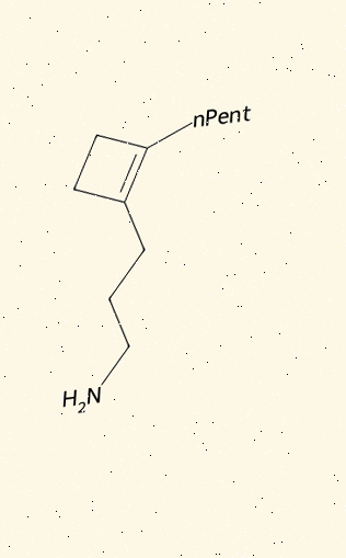 CCCCCC1=C(CCCN)CC1